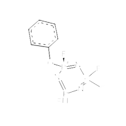 F[PH]1=N[P@](F)(Oc2ccccc2)=NP(F)(F)=N1